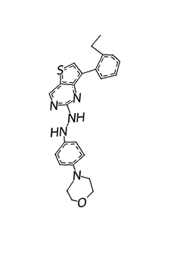 CCc1ccccc1-c1csc2cnc(NNc3ccc(N4CCOCC4)cc3)nc12